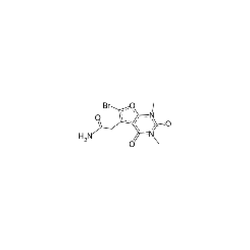 Cn1c(=O)c2c(CC(N)=O)c(Br)oc2n(C)c1=O